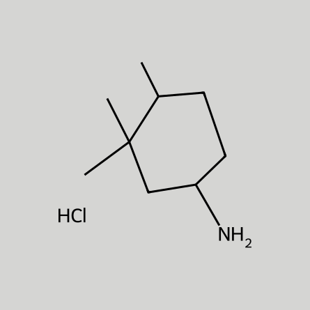 CC1CCC(N)CC1(C)C.Cl